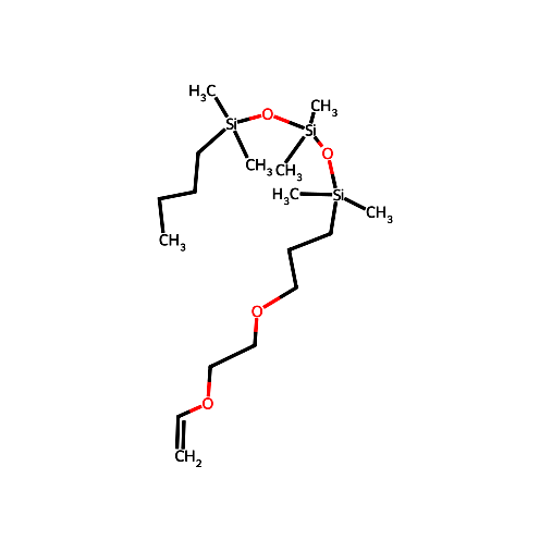 C=COCCOCCC[Si](C)(C)O[Si](C)(C)O[Si](C)(C)CCCC